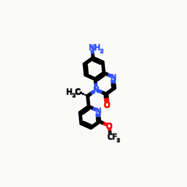 C[C@@H](c1cccc(OC(F)(F)F)n1)n1c(=O)cnc2cc(N)ccc21